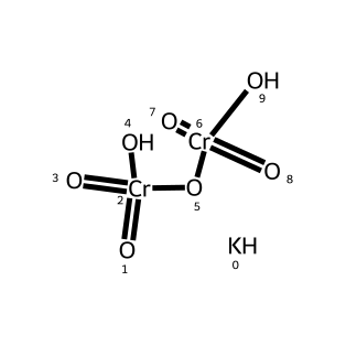 [KH].[O]=[Cr](=[O])([OH])[O][Cr](=[O])(=[O])[OH]